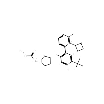 CC(C)(C)OC(=O)N[C@@H]1CC[C@@H](Oc2ccc(C(C)(C)C(=O)O)cc2-c2cccc(F)c2C2CCC2)C1